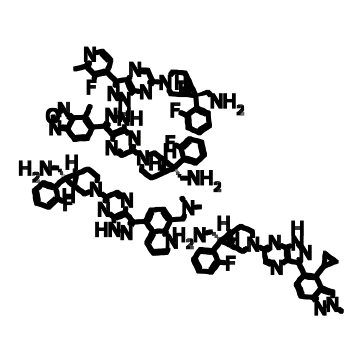 CN(C)Cc1ccc(-c2n[nH]c3nc(N4CC[C@@H]5[C@H](C4)[C@@]5(CN)c4ccccc4F)cnc23)c2cccnc12.Cc1c(-c2n[nH]c3nc(N4CC[C@@H]5[C@H](C4)[C@@]5(CN)c4ccccc4F)cnc23)ccc2nonc12.Cc1nccc(-c2n[nH]c3nc(N4CC[C@@H]5[C@H](C4)[C@@]5(CN)c4ccccc4F)cnc23)c1F.Cn1cc2c(C3CC3)c(-c3n[nH]c4nc(N5CC[C@@H]6[C@H](C5)[C@@]6(CN)c5ccccc5F)cnc34)ccc2n1